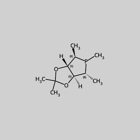 C[C@@H]1[C@H]2OC(C)(C)O[C@@H]2[C@@H](C)P1C